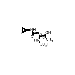 C[C@H](O)[C@H](CC(=O)NC1CC1)NC(=O)O